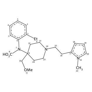 CCc1ccccc1N(C(=O)O)C1(COC)CCN(CCc2cccn2C)CC1